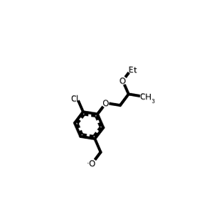 CCOC(C)COc1cc(C[O])ccc1Cl